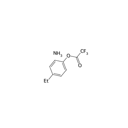 CCc1ccc(OC(=O)C(F)(F)F)cc1.N